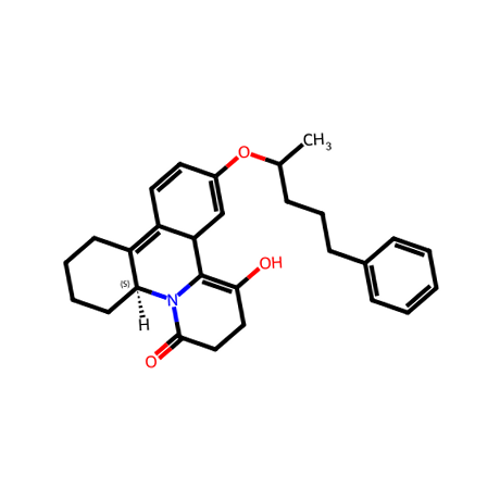 CC(CCCc1ccccc1)OC1=CC2C(=C3CCCC[C@@H]3N3C(=O)CCC(O)=C23)C=C1